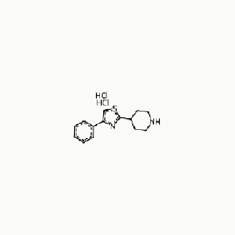 Cl.Cl.c1ccc(-c2csc(C3CCNCC3)n2)cc1